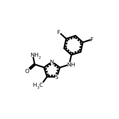 Cc1sc(Nc2cc(F)cc(F)c2)nc1C(N)=O